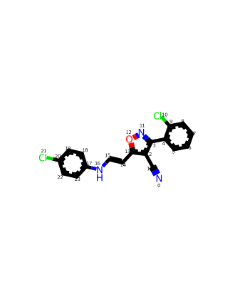 N#Cc1c(-c2ccccc2Cl)noc1/C=C/Nc1ccc(Cl)cc1